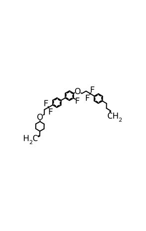 C=CCCc1ccc(C(F)(F)CCOc2ccc(-c3ccc(C(F)(F)CCOC4CCC(C=C)CC4)cc3)cc2F)cc1